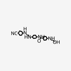 N#Cc1ccc(NCCNc2ccc(NC(=O)c3ccc(NCCO)cc3)cc2)cc1